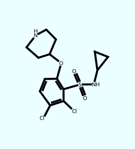 O=S(=O)(NC1CC1)c1c(OC2CCNCC2)ccc(Cl)c1Cl